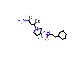 CCC(CC(N)=O)N1CCC(C#N)(NC(=O)[CH]CC2CCCCC2)C1